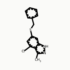 Cc1n[nH]c2cc(SCc3ccccc3)cc(Cl)c12